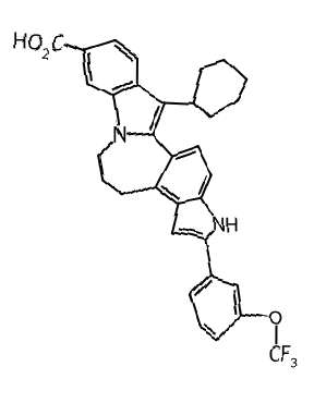 O=C(O)c1ccc2c(C3CCCCC3)c3n(c2c1)CCCc1c-3ccc2[nH]c(-c3cccc(OC(F)(F)F)c3)cc12